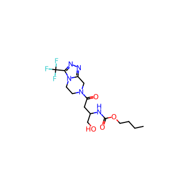 CCCCOC(=O)NC(CO)CC(=O)N1CCn2c(nnc2C(F)(F)F)C1